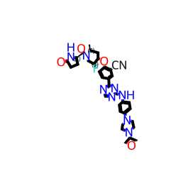 C[C@H]1CC(Oc2ccc(-c3ncnc(Nc4ccc(N5CCN(C6COC6)CC5)cc4)n3)cc2C#N)[C@@H](F)CN1C(=O)[C@H]1CCC(=O)N1